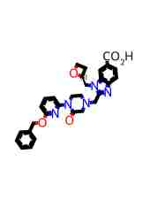 O=C(O)c1ccc2nc(CN3CCN(c4cccc(OCc5ccccc5)n4)C(=O)C3)n(C[C@@H]3CCO3)c2c1